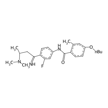 CCCCOc1ccc(C(=O)Nc2ccc(C(=N)CC(C)N(C)C)c(F)c2)c(C)c1